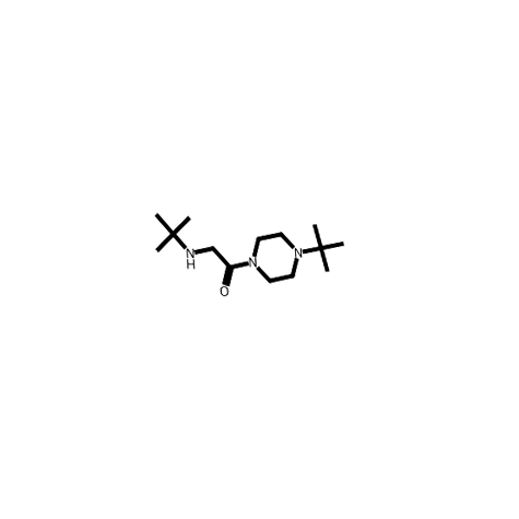 CC(C)(C)NCC(=O)N1CCN(C(C)(C)C)CC1